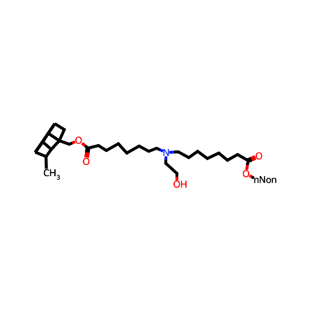 CCCCCCCCCOC(=O)CCCCCCCN(CCO)CCCCCCCC(=O)OCC12CC3C4C(C)C1C4C32